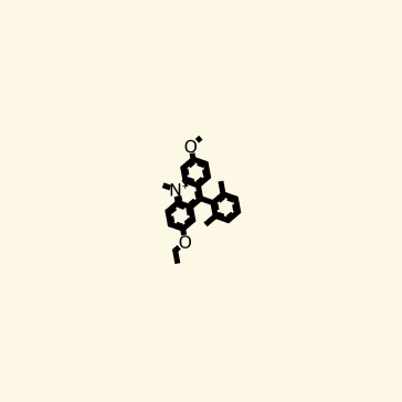 CCOc1ccc2c(c1)c(-c1c(C)cccc1C)c1ccc(OC)cc1[n+]2C